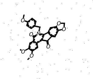 COc1ccc(Cn2c3c(c4cc(OC)c(OC)cc4c2=O)C(=O)c2cc4c(cc2-3)OCO4)cc1